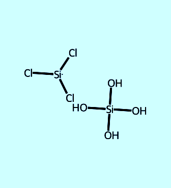 Cl[Si](Cl)Cl.O[Si](O)(O)O